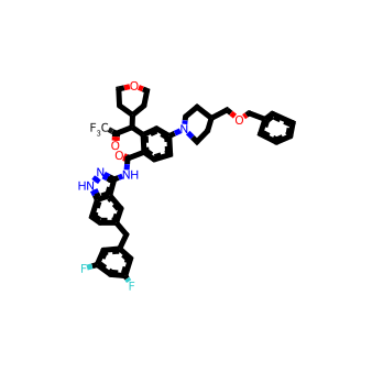 O=C(Nc1n[nH]c2ccc(Cc3cc(F)cc(F)c3)cc12)c1ccc(N2CCC(COCc3ccccc3)CC2)cc1C(C(=O)C(F)(F)F)C1CCOCC1